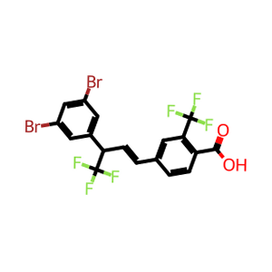 O=C(O)c1ccc(C=CC(c2cc(Br)cc(Br)c2)C(F)(F)F)cc1C(F)(F)F